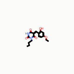 CCCCN1C(=O)NC(=O)C(=Cc2ccc(OCC)cc2O)C1=O